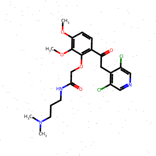 COc1ccc(C(=O)Cc2c(Cl)cncc2Cl)c(OCC(=O)NCCCN(C)C)c1OC